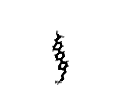 C=CCCc1ccc(C2CCC(C3CCC(C=C(F)F)CC3)CC2)cc1